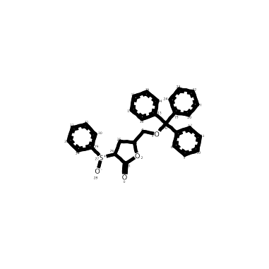 O=C1OC(COC(c2ccccc2)(c2ccccc2)c2ccccc2)CC1[S+]([O-])c1ccccc1